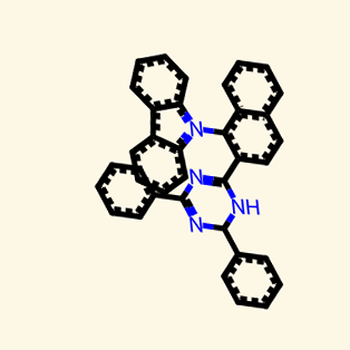 c1ccc(C2=NC(c3ccccc3)NC(c3ccc4ccccc4c3-n3c4ccccc4c4ccccc43)=N2)cc1